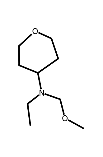 CCN(COC)C1CCOCC1